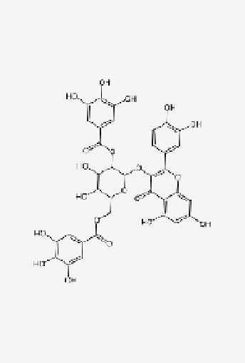 O=C(OCC1OC(Oc2c(-c3ccc(O)c(O)c3)oc3cc(O)cc(O)c3c2=O)C(OC(=O)c2cc(O)c(O)c(O)c2)C(O)C1O)c1cc(O)c(O)c(O)c1